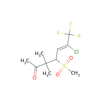 CC(=O)C(C)(C)C(/C=C(\Cl)C(F)(F)F)S(C)(=O)=O